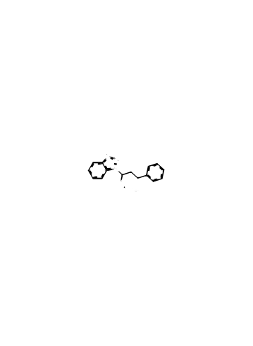 CCCCCOC(CCc1ccccc1)n1nnc2ccccc21